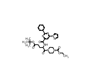 CCOC(=O)N1CCN(C(=O)C(CCC(=O)OC(C)(C)C)NC(=O)c2cc(-n3cccn3)nc(-c3ccccc3)n2)CC1